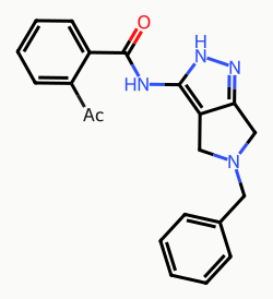 CC(=O)c1ccccc1C(=O)Nc1[nH]nc2c1CN(Cc1ccccc1)C2